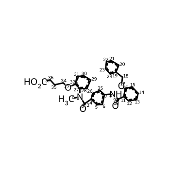 CN(C(=O)c1ccc(NC(=O)c2ccccc2OCc2ccccc2)cc1)c1ccccc1OCCCC(=O)O